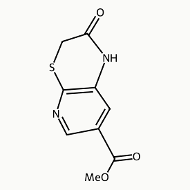 COC(=O)c1cnc2c(c1)NC(=O)CS2